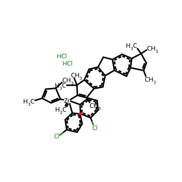 Cl.Cl.[CH2]=[Zr]([C]1=CC(C)=CC1C)([C]1=C(C)c2cc3c(cc2C1(C)C)Cc1cc2c(cc1-3)C(C)=CC2(C)C)([c]1cccc(Cl)c1)[c]1cccc(Cl)c1